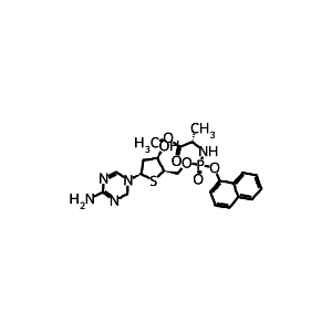 COC(=O)[C@H](C)NP(=O)(OC[C@H]1S[C@@H](N2C=NC(N)=NC2)C[C@H]1O)Oc1cccc2ccccc12